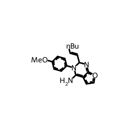 CCCC/C=C/C1N=c2occc2=C(N)N1c1ccc(OC)cc1